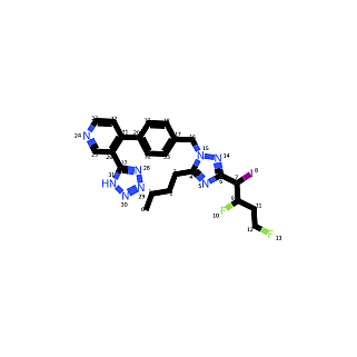 CCCCc1nc(C(I)C(F)CCF)nn1Cc1ccc(-c2ccncc2-c2nnn[nH]2)cc1